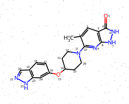 Cc1cc2c(=O)[nH][nH]c2nc1N1CCC(Oc2ccc3cn[nH]c3c2)CC1